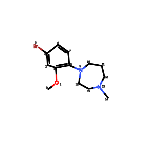 COc1cc(Br)ccc1N1CCCN(C)CC1